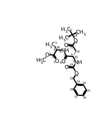 COC(=O)[C@@H](C)NC(=O)[C@H](CC(=O)OC(C)(C)C)NC(=O)OCc1ccccc1